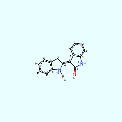 O=C1Nc2ccccc2C1=C1Cc2ccccc2N1Br